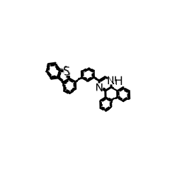 C1=C(c2cccc(-c3cccc4c3sc3ccccc34)c2)N=C2c3ccccc3-c3ccccc3C2N1